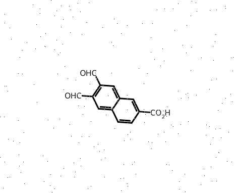 O=Cc1cc2ccc(C(=O)O)cc2cc1C=O